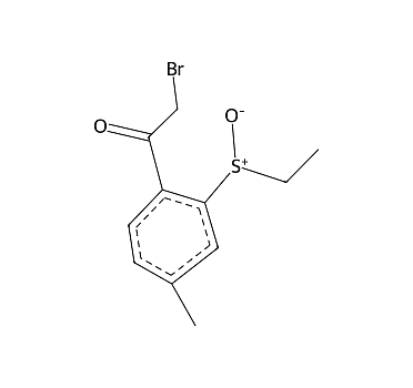 CC[S+]([O-])c1cc(C)ccc1C(=O)CBr